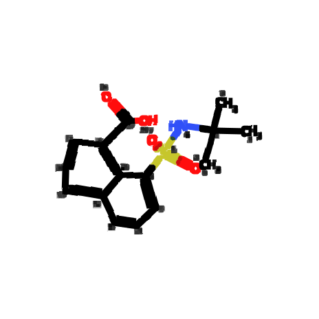 CC(C)(C)NS(=O)(=O)c1cccc2cccc(C(=O)O)c12